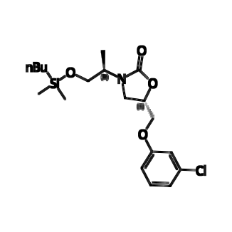 CCCC[Si](C)(C)OC[C@@H](C)N1C[C@@H](COc2cccc(Cl)c2)OC1=O